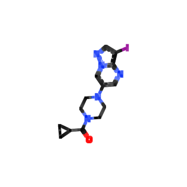 O=C(C1CC1)N1CCN(c2cnc3c(I)cnn3c2)CC1